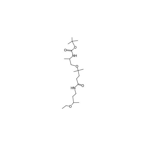 CCOC(C)CCNC(=O)CCC(C)(C)OCC(C)NC(=O)OC(C)(C)C